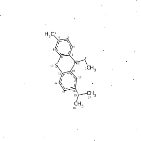 CCN1c2ccc(C)cc2Sc2ccc(C(C)C)cc21